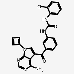 Nc1ncnc2c1c(C(=O)c1cccc(NC(=O)Nc3ccccc3Cl)c1)cn2C1=CC=C1